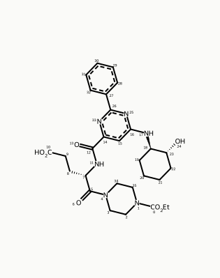 CCOC(=O)N1CCN(C(=O)[C@H](CCC(=O)O)NC(=O)c2cc(N[C@@H]3CCCC[C@H]3O)nc(-c3ccccc3)n2)CC1